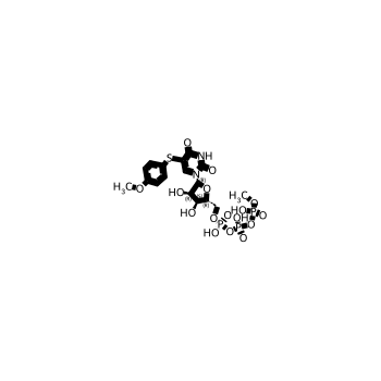 COc1ccc(Sc2cn([C@@H]3O[C@H](COP(=O)(O)OP(=O)(O)OP(=O)(O)OC)[C@@H](O)[C@H]3O)c(=O)[nH]c2=O)cc1